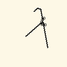 CCCC/C=C\C/C=C\CCCCCCCC(=O)OC[C@H](COC(=O)CCCCCCCCCCCCCCCCCCCCC)OC(=O)CCCCCCCCCCCCCCCCCC